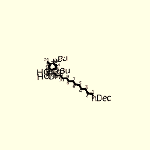 CCCCCCCCCCCCCCCCCCCCCCCP(O)(O)(O)c1cc(C)c(CCCC)cc1C(C)(C)C